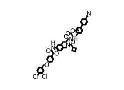 N#Cc1ccc(-c2ccc(C[C@H](NC(=O)C3Cc4cc5c(cc4CN3C(=O)C3CCC3)OC(c3ccc(OCc4ccc(Cl)c(Cl)c4)cc3)C(=O)N5)C(=O)O)cc2)cc1